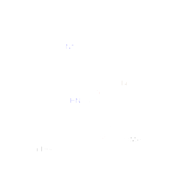 CCCCCCCCCCCCCCOc1c(CC(=O)Nc2ccc(C[n+]3ccccc3)cc2)cccc1OC.[Br-]